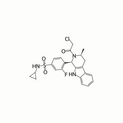 C[C@H]1Cc2c([nH]c3ccccc23)[C@@H](c2ccc(S(=O)(=O)NC3CC3)cc2F)N1C(=O)CCl